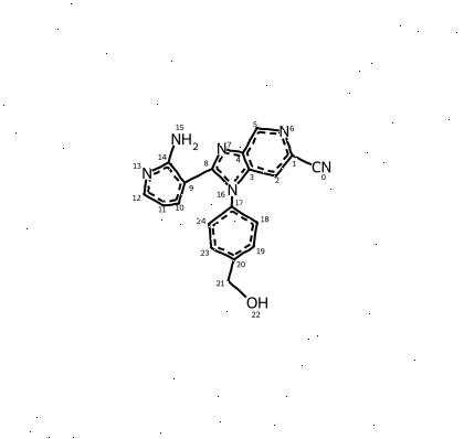 N#Cc1cc2c(cn1)nc(-c1cccnc1N)n2-c1ccc(CO)cc1